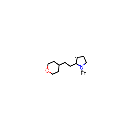 CCN1CC[CH]C1CCC1CCOCC1